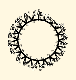 Br[C]1C(Br)(Br)C(Br)(Br)C(Br)(Br)C(Br)(Br)C(Br)(Br)C(Br)(Br)C(Br)(Br)C(Br)(Br)C(Br)(Br)C(Br)(Br)C(Br)(Br)C(Br)(Br)C(Br)(Br)C(Br)(Br)C(Br)(Br)C(Br)(Br)C(Br)(Br)C(Br)(Br)C1(Br)Br